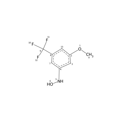 COc1cc(NO)cc(C(F)(F)F)c1